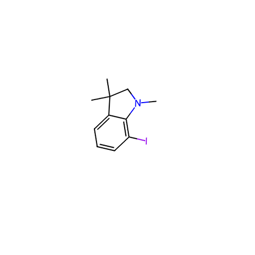 CN1CC(C)(C)c2cccc(I)c21